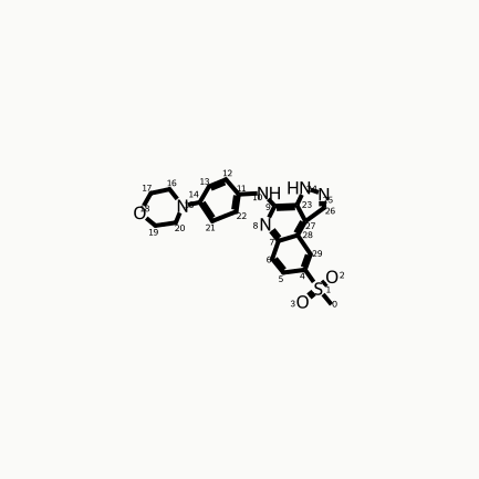 CS(=O)(=O)c1ccc2nc(Nc3ccc(N4CCOCC4)cc3)c3[nH]ncc3c2c1